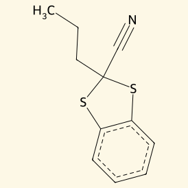 CCCC1(C#N)Sc2ccccc2S1